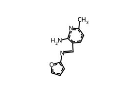 Cc1ccc(C=Nc2ccco2)c(N)n1